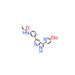 C=CC(=O)Nc1cccc(-c2cnc3[nH]cc(-c4ccc(O)cn4)c3c2)c1